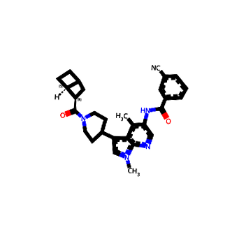 Cc1c(NC(=O)c2cccc(C#N)c2)cnc2c1c(C1CCN(C(=O)[C@@H]3CC4CC[C@@H]43)CC1)cn2C